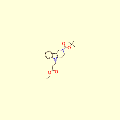 CCOC(=O)CCn1c2c(c3ccccc31)CN(C(=O)OC(C)(C)C)CC2